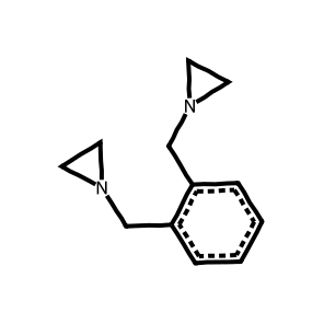 c1ccc(CN2CC2)c(CN2CC2)c1